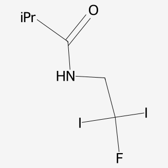 CC(C)C(=O)NCC(F)(I)I